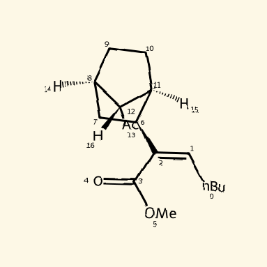 CCCCC=C(C(=O)OC)[C@H]1C[C@H]2CC[C@@H]1[C@@H]2C(C)=O